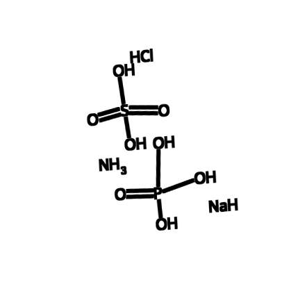 Cl.N.O=P(O)(O)O.O=S(=O)(O)O.[NaH]